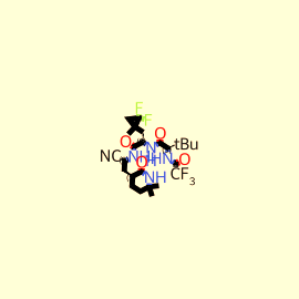 CC1(C)CC[C@@H](C[C@@H](C#N)NC(=O)[C@H](CC2(C)CC2(F)F)NC(=O)[C@@H](NC(=O)C(F)(F)F)C(C)(C)C)C(=O)N1